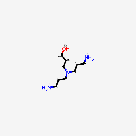 NCCCN(CCCN)CCCO